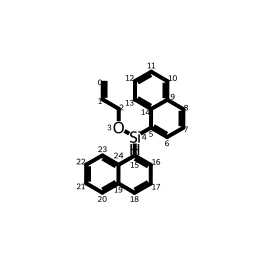 C=CCO[SiH](c1cccc2ccccc12)c1cccc2ccccc12